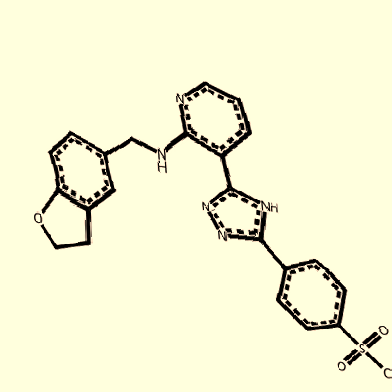 CS(=O)(=O)c1ccc(-c2nnc(-c3cccnc3NCc3ccc4c(c3)CCO4)[nH]2)cc1